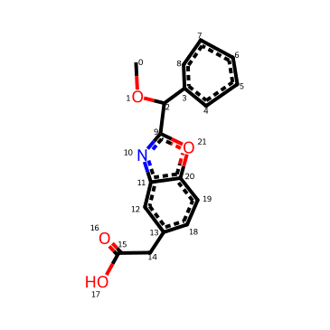 COC(c1ccccc1)c1nc2cc(CC(=O)O)ccc2o1